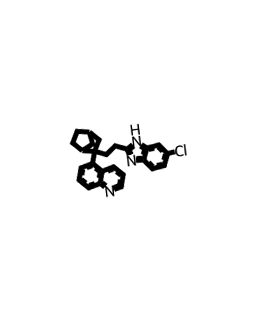 Clc1ccc2nc(CCC3(c4cccc5ncccc45)CC4CCC3C4)[nH]c2c1